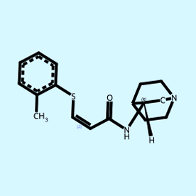 Cc1ccccc1S/C=C\C(=O)N[C@H]1CN2CCC1CC2